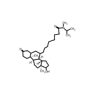 CC(C)N(C)C(=O)CCCCCCCC1CC2CC(=O)CC[C@]2(C)[C@@H]2CC[C@]3(C)C(O)CC[C@H]3[C@H]12